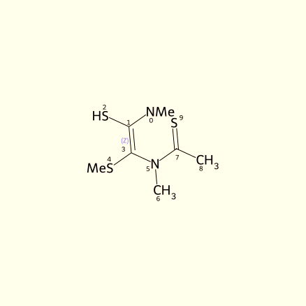 CN/C(S)=C(/SC)N(C)C(C)=S